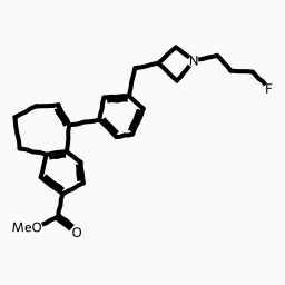 COC(=O)c1ccc2c(c1)CCCC=C2c1cccc(CC2CN(CCCF)C2)c1